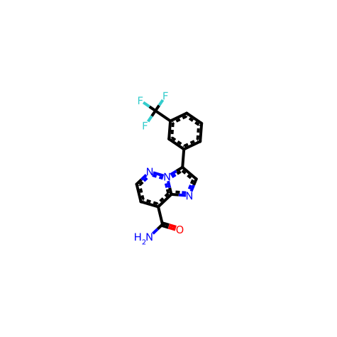 NC(=O)c1ccnn2c(-c3cccc(C(F)(F)F)c3)cnc12